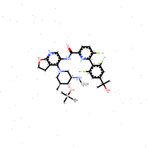 C[C@H]1CN(c2c(NC(=O)c3ccc(F)c(-c4c(F)cc(C(C)(C)O)cc4F)n3)cnc3c2CCO3)C[C@@H](NC(=O)O)[C@@H]1O[Si](C)(C)C(C)(C)C